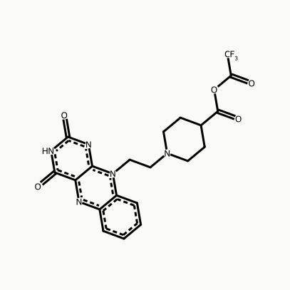 O=C(OC(=O)C(F)(F)F)C1CCN(CCn2c3nc(=O)[nH]c(=O)c-3nc3ccccc32)CC1